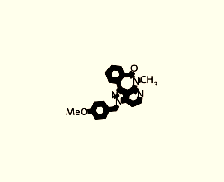 COc1ccc(Cn2nc3c4c(nccc42)N(C)C(=O)c2ccccc2-3)cc1